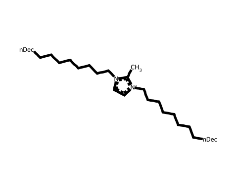 CCCCCCCCCCCCCCCCCCn1cc[n+](CCCCCCCCCCCCCCCCCC)c1C